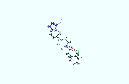 CCc1nnc2ccc(N3CCN(C(=O)Cc4ccccc4Cl)CC3)nn12